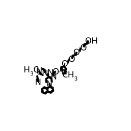 CN1CCN(c2nc(OC[C@@H]3C[C@@H](OCCOCCOCCOCCO)CN3C)nc3c2CCN(c2cccc4ccccc24)C3)C[C@@H]1CC#N